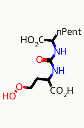 CCCCCC(NC(=O)NC(CCOO)C(=O)O)C(=O)O